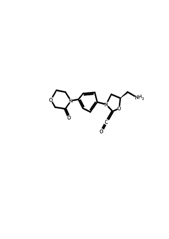 NC[C@@H]1CN(c2ccc(N3CCOCC3=O)cc2)C(=C=O)O1